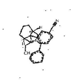 CCOC1(c2cccc(C#N)c2)[C@@H]2CCC[C@H]1CN(Cc1ccccc1)C2